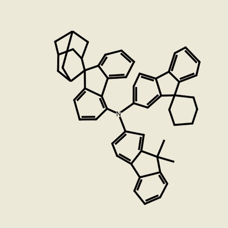 CC1(C)c2ccccc2-c2ccc(N(c3ccc4c(c3)C3(CCCCC3)c3ccccc3-4)c3cccc4c3-c3ccccc3C43C4CC5CC(C4)CC3C5)cc21